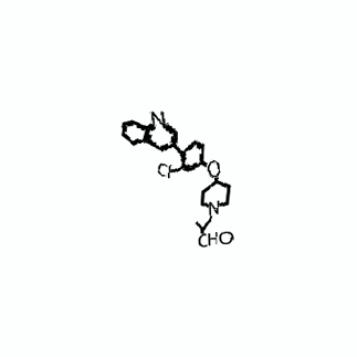 CC(C=O)CN1CCC(Oc2ccc(-c3cnc4ccccc4c3)c(Cl)c2)CC1